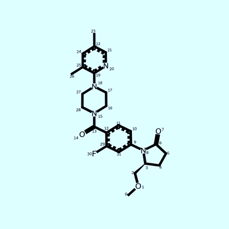 COC[C@@H]1CCC(=O)N1c1ccc(C(=O)N2CCN(c3ncc(C)cc3C)CC2)c(F)c1